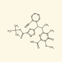 COc1c(C(=O)O)nc(C(C)C(c2cnn(C(=O)OC(C)(C)C)c2)c2ccccc2C#N)n(C)c1=O